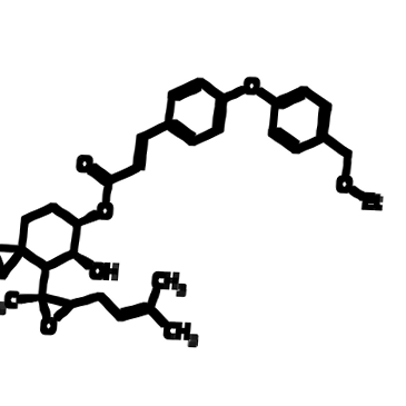 CCOCc1ccc(Oc2ccc(/C=C/C(=O)O[C@@H]3CCC4(CO4)C([C@@]4(C)OC4CC=C(C)C)[C@@H]3O)cc2)cc1